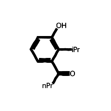 CCCC(=O)c1cccc(O)c1C(C)C